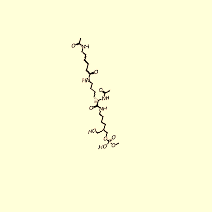 COP(=O)(O)OCC(CO)CCCCNC(=O)[C@H](CCCCNC(=O)CCCCCNC(C)=O)NC(C)=O